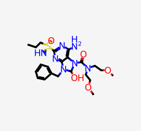 CCCS(=N)(=O)c1nc(N)c2c(n1)N(Cc1ccccc1)C(O)N2C(=O)N(CCOC)CCOC